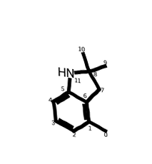 Cc1cccc2c1CC(C)(C)N2